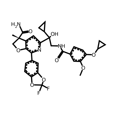 COc1cc(C(=O)NCC(O)(c2cc3c(c(-c4ccc5c(c4)OC(F)(F)O5)n2)OC[C@]3(C)C(N)=O)C2CC2)ccc1OC1CC1